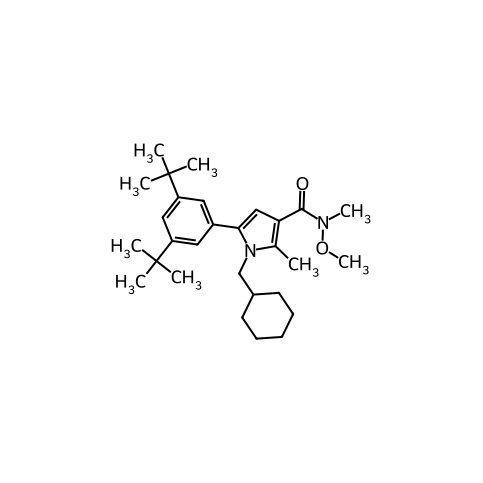 CON(C)C(=O)c1cc(-c2cc(C(C)(C)C)cc(C(C)(C)C)c2)n(CC2CCCCC2)c1C